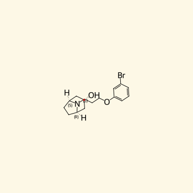 O[C@@H]1C[C@H]2CC[C@@H](C1)N2CCCOc1cccc(Br)c1